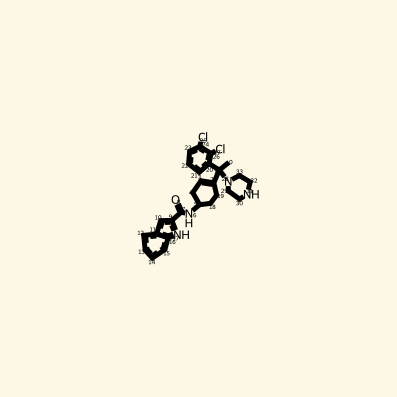 CC(C1=CCC(NC(=O)c2cc3ccccc3[nH]2)CC1)(c1cccc(Cl)c1Cl)N1CCNCC1